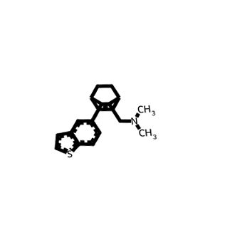 CN(C)CC1=C(c2ccc3sccc3c2)C2CCC1CC2